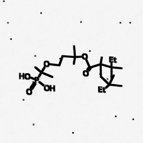 CCC(C)(C)CC(C)(C(=O)OC(C)(C)CCOC(C)(C)P(=O)(O)O)C(C)(C)CC